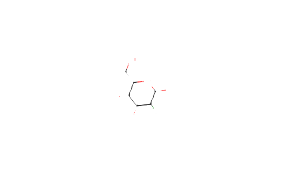 OC[C@H]1O[C@@H](O)C([18F])[C@@H](O)[C@@H]1O